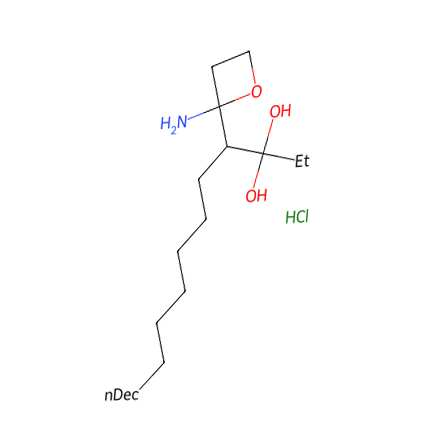 CCCCCCCCCCCCCCCCC(C(O)(O)CC)C1(N)CCO1.Cl